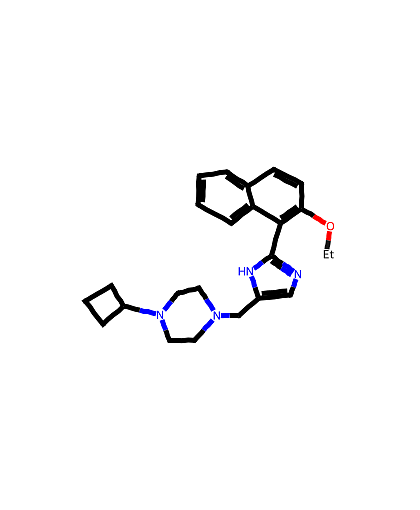 CCOc1ccc2ccccc2c1-c1ncc(CN2CCN(C3CCC3)CC2)[nH]1